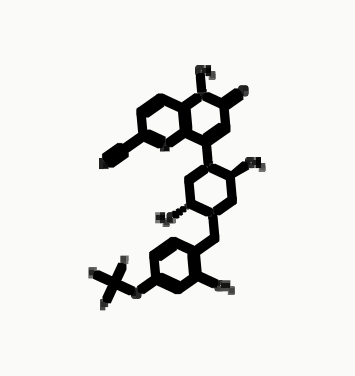 Cc1cc(OC(F)(F)F)ccc1CN1C[C@H](C)N(c2cc(=O)n(C)c3ccc(C#N)nc23)C[C@H]1C